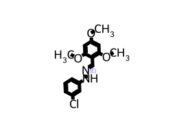 COc1cc(OC)c(/C=N/Nc2cccc(Cl)c2)c(OC)c1